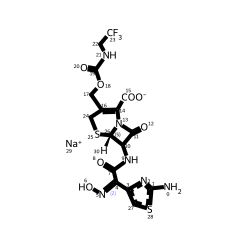 Nc1nc(/C(=N/O)C(=O)NC2C(=O)N3C(C(=O)[O-])=C(COC(=O)NCC(F)(F)F)CS[C@@H]23)cs1.[Na+]